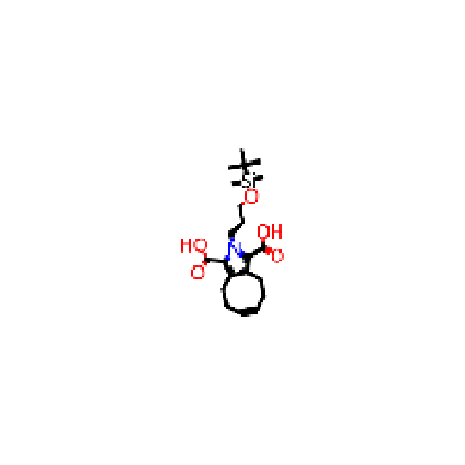 CC(C)(C)[Si](C)(C)OCCCn1c(C(=O)O)c2c(c1C(=O)O)CCC#CCC2